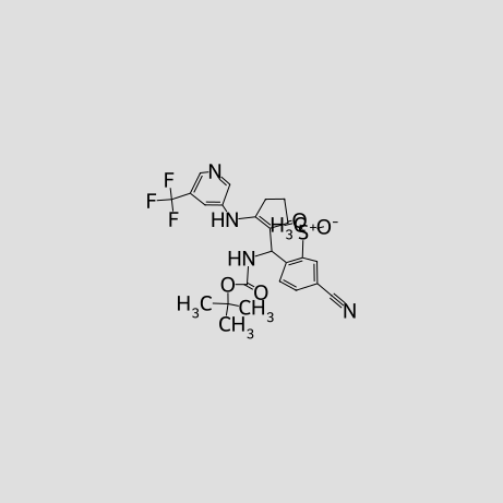 C[S+]([O-])c1cc(C#N)ccc1C(NC(=O)OC(C)(C)C)C1=C(Nc2cncc(C(F)(F)F)c2)CCC1=O